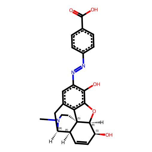 CN1CC[C@]23c4c5cc(N=Nc6ccc(C(=O)O)cc6)c(O)c4O[C@H]2[C@@H](O)C=C[C@H]3[C@H]1C5